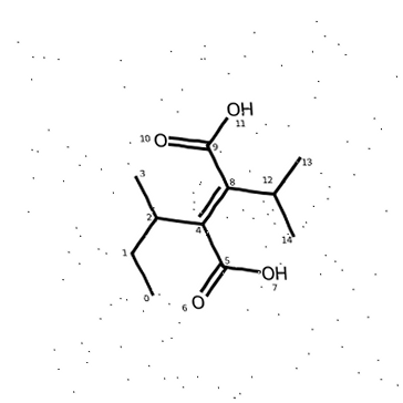 CCC(C)C(C(=O)O)=C(C(=O)O)C(C)C